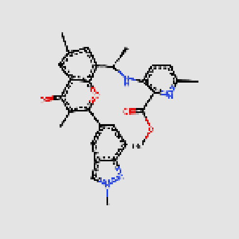 Cc1cc([C@@H](C)Nc2ccc(C)nc2C(=O)OC(C)(C)C)c2oc(-c3ccc4nn(C)cc4c3)c(C)c(=O)c2c1